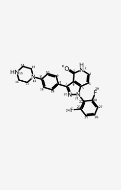 O=c1[nH]ccc2c1c(-c1ccc(N3CCNCC3)cc1)nn2-c1c(F)cccc1F